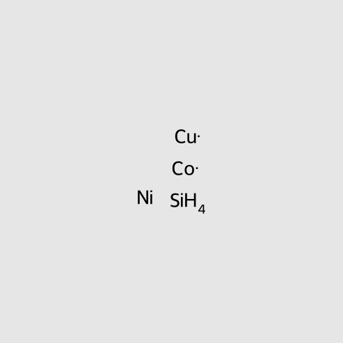 [Co].[Cu].[Ni].[SiH4]